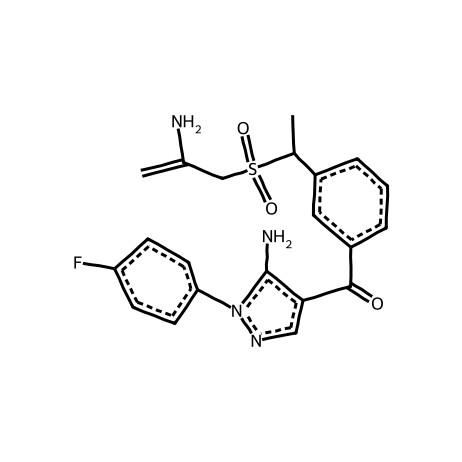 C=C(N)CS(=O)(=O)C(C)c1cccc(C(=O)c2cnn(-c3ccc(F)cc3)c2N)c1